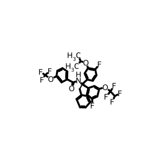 CC(C)Oc1cc([C@@](Cc2ccccc2)(NC(=O)c2cccc(OC(F)(F)F)c2)c2cc(F)cc(OC(F)(F)C(F)F)c2)ccc1F